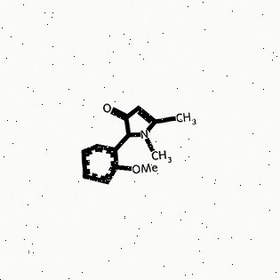 COc1ccccc1C1C(=O)C=C(C)N1C